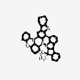 CC1(C)c2ccccc2-c2c1n1c3c(cccc23)-c2c3c(cc4c2sc2ccccc24)N2c4ccccc4Oc4cccc(c42)B31